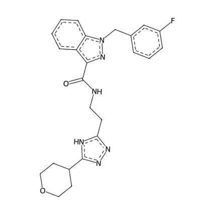 O=C(NCCc1nnc(C2CCOCC2)[nH]1)c1nn(Cc2cccc(F)c2)c2ccccc12